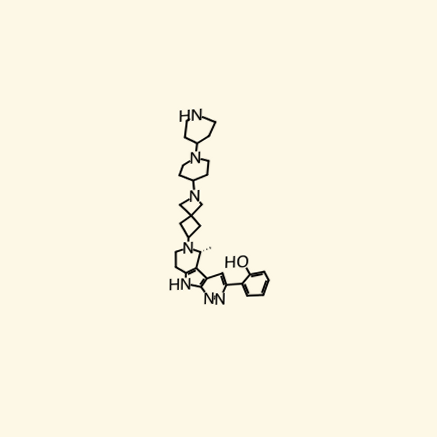 C[C@@H]1c2c([nH]c3nnc(-c4ccccc4O)cc23)CCN1C1CC2(C1)CN(C1CCN(C3CCNCC3)CC1)C2